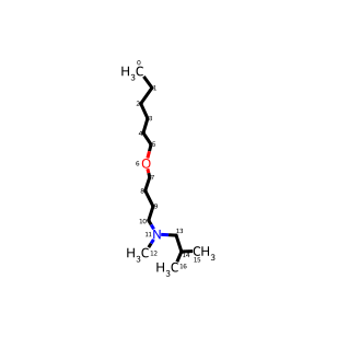 CCCCCCOCCCCN(C)CC(C)C